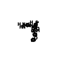 CS[C@@H]1C[C@@H](C(=O)NCc2cc(C(=N)N)cs2)N(C(=O)CNC(=O)c2ccc(Oc3ccccc3)cc2)C1